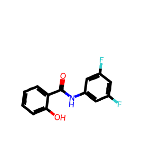 O=C(Nc1cc(F)cc(F)c1)c1ccccc1O